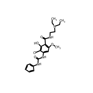 CCN(CC)CCNC(=O)c1c(OC)cc(NC(=O)Nc2ccccc2)c(Cl)c1O